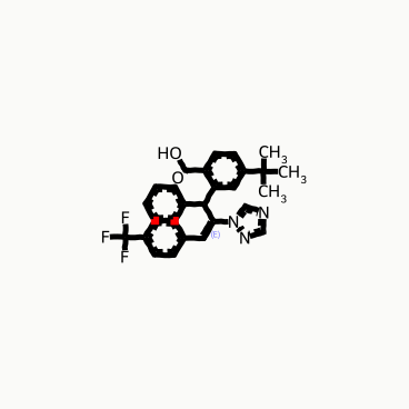 CC(C)(C)c1ccc(C(=O)O)c(C(/C(=C\c2ccc(C(F)(F)F)cc2)n2cncn2)c2ccccc2)c1